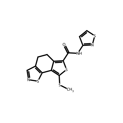 CSc1sc(C(=O)Nc2ccsn2)c2c1-c1sncc1CC2